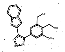 COc1cc(-c2n[nH]nc2-c2cc3ccccc3o2)cc(CO)c1CO